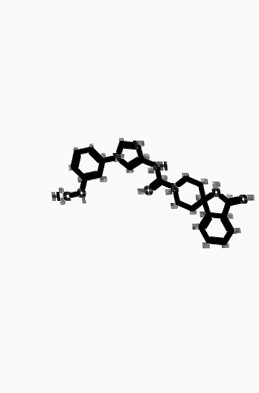 COc1cccc(-n2cnc(NC(=O)N3CCC4(CC3)OC(=O)c3ccccc34)c2)c1